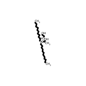 CC(=O)O.CCCCCCCCCCCCOCCCCCCCCCCCC.OCCO